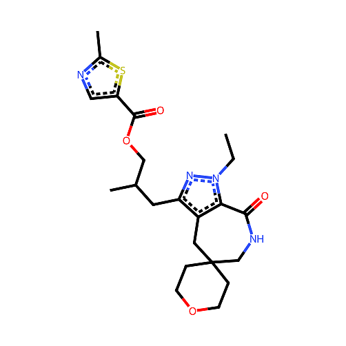 CCn1nc(CC(C)COC(=O)c2cnc(C)s2)c2c1C(=O)NCC1(CCOCC1)C2